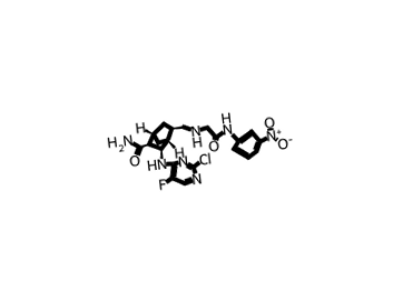 NC(=O)[C@H]1[C@@H]2C[C@@H](CNCC(=O)Nc3cccc([N+](=O)[O-])c3)[C@@H](C2)[C@H]1Nc1nc(Cl)ncc1F